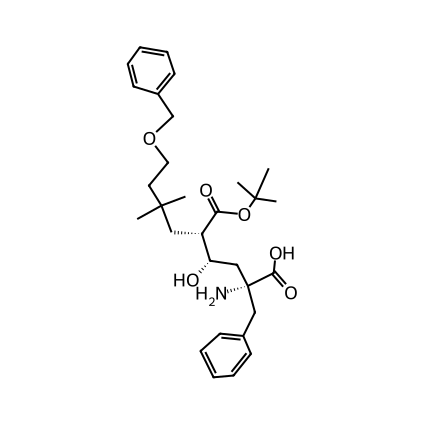 CC(C)(CCOCc1ccccc1)C[C@H](C(=O)OC(C)(C)C)[C@@H](O)C[C@](N)(Cc1ccccc1)C(=O)O